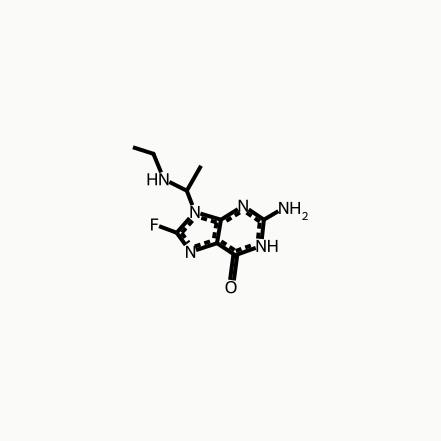 CCNC(C)n1c(F)nc2c(=O)[nH]c(N)nc21